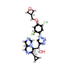 O[C@@H](c1cn(-c2cc(F)c(OCC3COC3)cc2F)nn1)c1c(C2CC2)ncc2cncn12